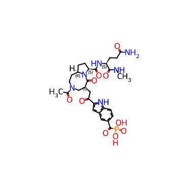 CNC(=O)[C@H](CCC(N)=O)NC(=O)[C@@H]1CC[C@@H]2CCN(C(C)=O)C[C@H](CC(=O)c3cc4cc(C(=O)P(=O)(O)O)ccc4[nH]3)C(=O)N21